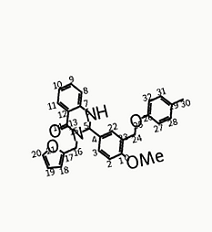 COc1ccc(C2Nc3ccccc3C(=O)N2Cc2ccco2)cc1COc1ccc(C)cc1